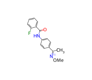 CO/N=C(\C)c1ccc(NC(=O)c2ccccc2F)cc1